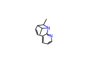 CC1C2C=Cc3cccnc3N1C2C